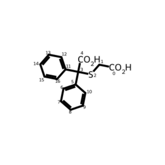 O=C(O)CSC(C(=O)O)(c1ccccc1)c1ccccc1